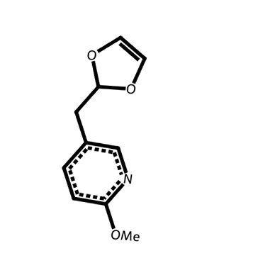 COc1ccc(CC2OC=CO2)cn1